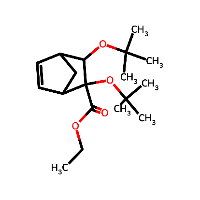 CCOC(=O)C1(OC(C)(C)C)C2C=CC(C2)C1OC(C)(C)C